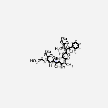 C/C(=C\[C@H](C(C)C)N(C)C(=O)[C@@H](NC(=O)[C@@H](N(C)C(=O)OC(C)(C)C)C(C)(C)c1ccccc1)C(C)(C)C)C(=O)N[C@H](CCC(=O)O)C(=O)OC(C)(C)C